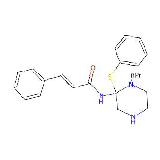 CCCN1CCNCC1(NC(=O)C=Cc1ccccc1)Sc1ccccc1